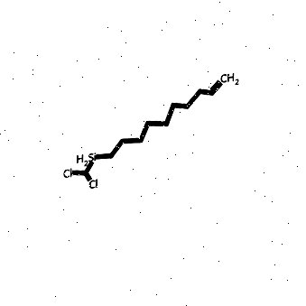 C=CCCCCCCCC[SiH2]C(Cl)Cl